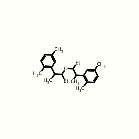 CCC(OC(CC)C(C)c1cc(C)ccc1C)C(C)c1cc(C)ccc1C